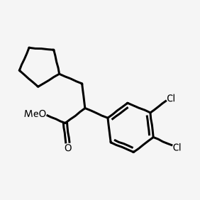 COC(=O)C(CC1CCCC1)c1ccc(Cl)c(Cl)c1